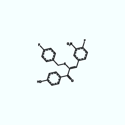 O=C(C(=Cc1ccc(F)c([N+](=O)[O-])c1)SCc1ccc(F)cc1)c1ccc(O)cc1